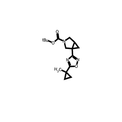 CC(C)(C)OC(=O)N1CC2CC2(c2noc(C3(C)CC3)n2)C1